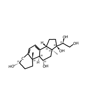 C[C@]12C[C@H](O)[C@@H]3C(=CC=C4C[C@@H](O)CC[C@]43C)[C@@H]1CC[C@]2(O)[C@@H](O)CO